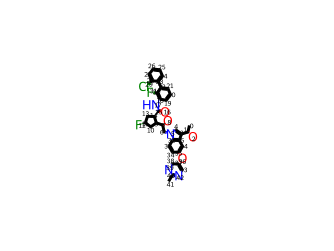 CC(=O)c1cn(CC(=O)C2C[C@H](F)C[C@H]2C(=O)Nc2cccc(-c3ccccc3Cl)c2F)c2ccc(Oc3cnc(C)nc3)cc12